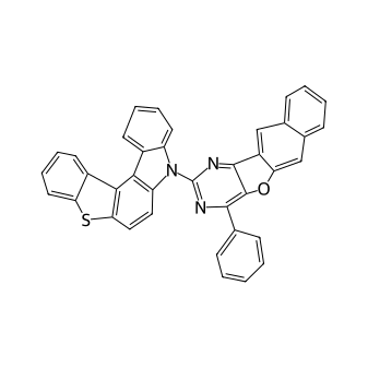 c1ccc(-c2nc(-n3c4ccccc4c4c5c(ccc43)sc3ccccc35)nc3c2oc2cc4ccccc4cc23)cc1